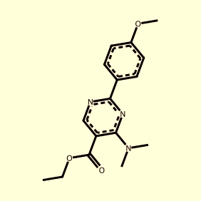 CCOC(=O)c1cnc(-c2ccc(OC)cc2)nc1N(C)C